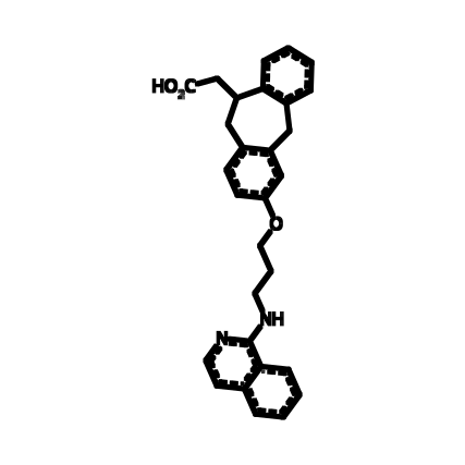 O=C(O)CC1Cc2ccc(OCCCNc3nccc4ccccc34)cc2Cc2ccccc21